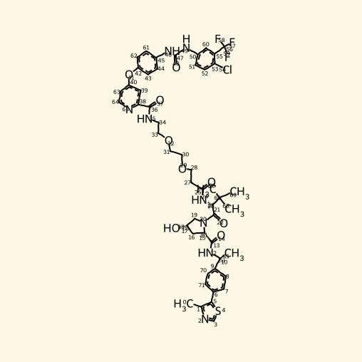 Cc1ncsc1-c1ccc([C@H](C)NC(=O)[C@H]2C[C@H](O)CN2C(=O)[C@H](NC(=O)CCOCCOCCNC(=O)c2cc(Oc3ccc(NC(=O)Nc4ccc(Cl)c(C(F)(F)F)c4)cc3)ccn2)C(C)(C)C)cc1